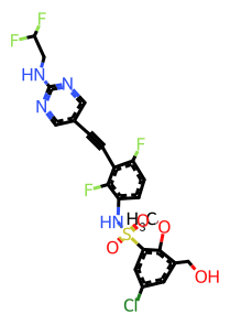 COc1c(CO)cc(Cl)cc1S(=O)(=O)Nc1ccc(F)c(C#Cc2cnc(NCC(F)F)nc2)c1F